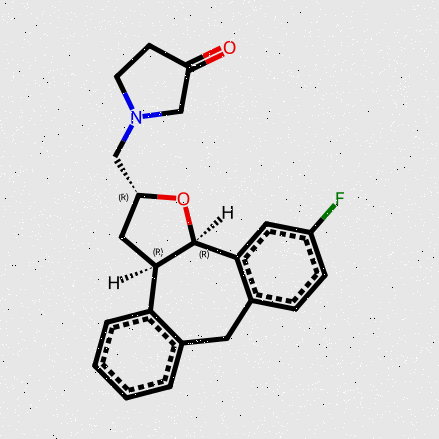 O=C1CCN(C[C@H]2C[C@@H]3c4ccccc4Cc4ccc(F)cc4[C@@H]3O2)C1